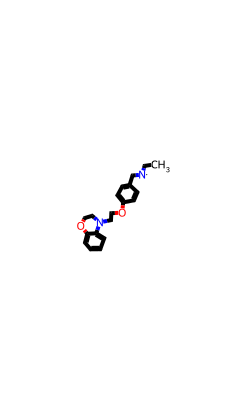 CC[N]Cc1ccc(OCCN2CCOc3ccccc32)cc1